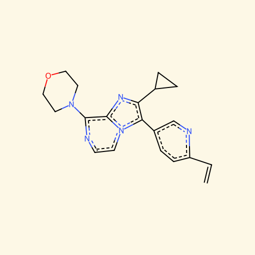 C=Cc1ccc(-c2c(C3CC3)nc3c(N4CCOCC4)nccn23)cn1